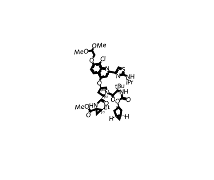 CC[C@@H]1C[C@]1(NC(=O)[C@@H]1C[C@@H](Oc2cc(-c3csc(NC(C)C)n3)nc3c(Cl)c(OCC(OC)OC)ccc23)CN1C(=O)[C@@H](NC(=O)O[C@@H]1C[C@@H]2C[C@@H]2C1)C(C)(C)C)C(=O)OC